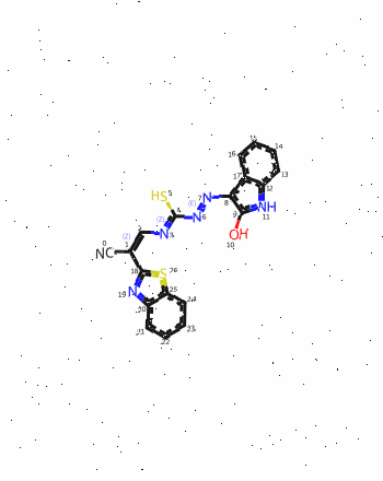 N#C/C(=C/N=C(S)/N=N/c1c(O)[nH]c2ccccc12)c1nc2ccccc2s1